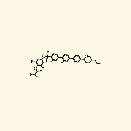 CCCC1CCC(c2ccc(-c3ccc(-c4ccc(C(F)(F)Oc5cc(F)c(OC(F)=C(F)F)c(F)c5)c(F)c4)c(F)c3)cc2)OC1